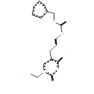 O=C(O)Cn1cc(CC=CNC(=O)OCc2ccccc2)c(=O)[nH]c1=O